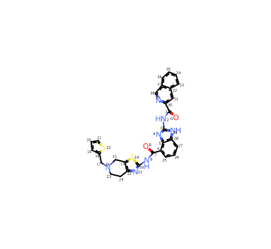 O=C(Nc1nc2c(C(=O)Nc3nc4c(s3)CN(Cc3cccs3)CC4)cccc2[nH]1)c1cc2ccccc2cn1